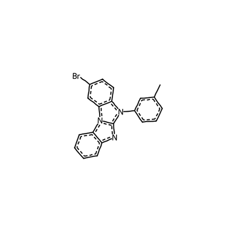 Cc1cccc(-n2c3ccc(Br)cc3n3c4ccccc4nc23)c1